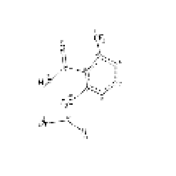 O=C(P)c1c(C(F)(F)F)cccc1C(F)(F)F.[Li][CH2]C(C)C